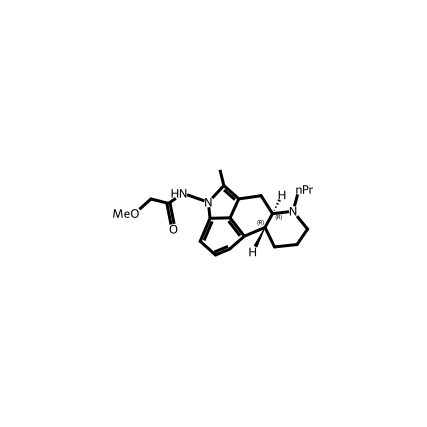 CCCN1CCC[C@@H]2c3cccc4c3c(c(C)n4NC(=O)COC)C[C@H]21